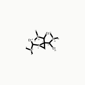 CCC(N(C)C)N1CC1(C(CC)N(C)C)C(CC)N(C)C